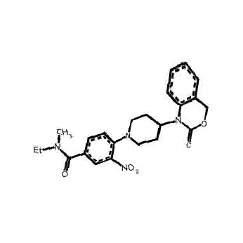 CCN(C)C(=O)c1ccc(N2CCC(N3C(=O)OCc4ccccc43)CC2)c([N+](=O)[O-])c1